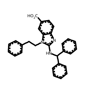 O=C(O)c1ccc2nc(NC(c3ccccc3)c3ccccc3)n(CCc3ccccc3)c2c1